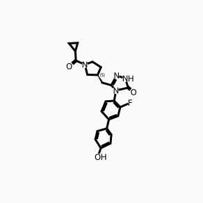 O=C(C1CC1)N1CC[C@@H](Cc2n[nH]c(=O)n2-c2ccc(-c3ccc(O)cc3)cc2F)C1